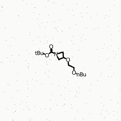 CCCCOCCOC1CN(C(=O)OC(C)(C)C)C1